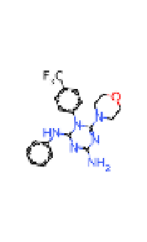 NC1=NC(Nc2ccccc2)N(c2ccc(C(F)(F)F)cc2)C(N2CCOCC2)=N1